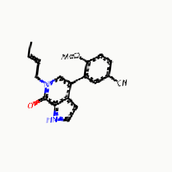 C/C=C/Cn1cc(-c2cc(C#N)ccc2OC)c2cc[nH]c2c1=O